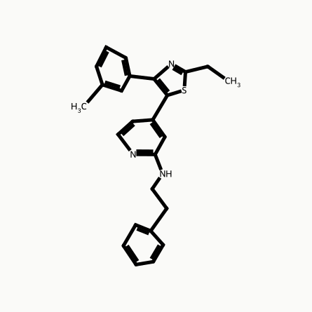 CCc1nc(-c2cccc(C)c2)c(-c2ccnc(NCCc3ccccc3)c2)s1